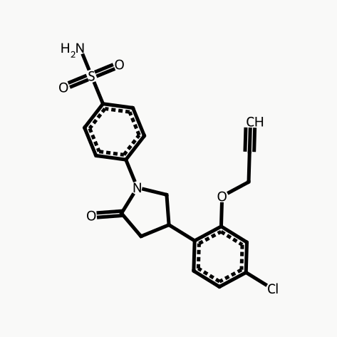 C#CCOc1cc(Cl)ccc1C1CC(=O)N(c2ccc(S(N)(=O)=O)cc2)C1